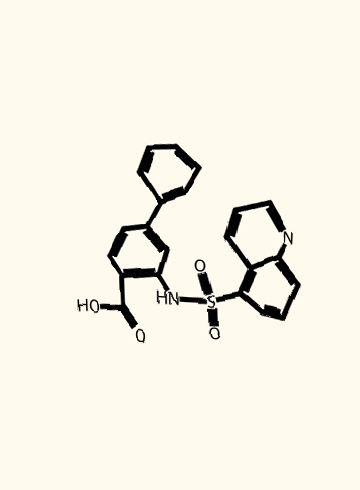 O=C(O)c1ccc(-c2ccccc2)cc1NS(=O)(=O)c1cccc2ncccc12